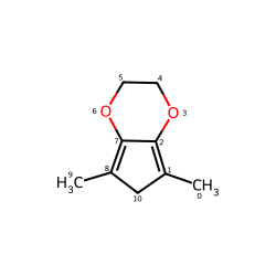 CC1=C2OCCOC2=C(C)C1